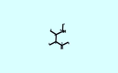 CNC(C)C(C)NC